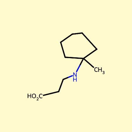 CC1(NCCC(=O)O)CCCCC1